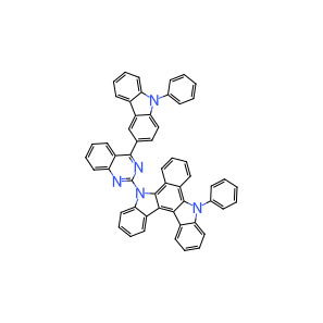 c1ccc(-n2c3ccccc3c3cc(-c4nc(-n5c6ccccc6c6c7c8ccccc8n(-c8ccccc8)c7c7ccccc7c65)nc5ccccc45)ccc32)cc1